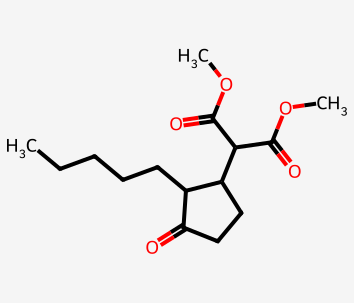 CCCCCC1C(=O)CCC1C(C(=O)OC)C(=O)OC